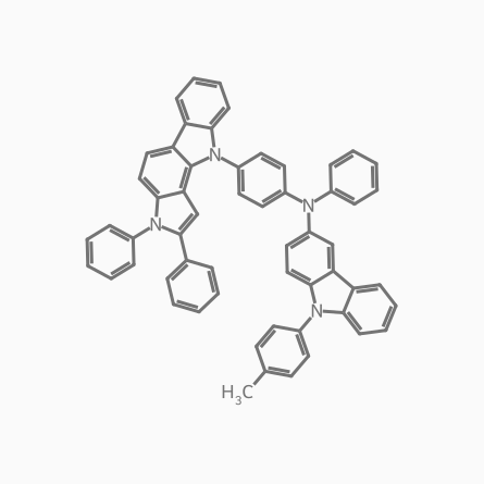 Cc1ccc(-n2c3ccccc3c3cc(N(c4ccccc4)c4ccc(-n5c6ccccc6c6ccc7c(cc(-c8ccccc8)n7-c7ccccc7)c65)cc4)ccc32)cc1